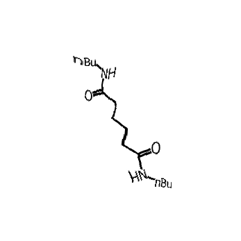 CCCCNC(=O)CCCCC(=O)NCCCC